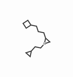 C1CC(CCCC2CN2CCC2CC2)C1